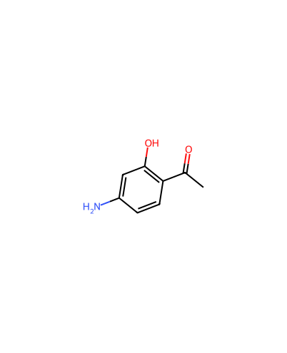 CC(=O)c1ccc(N)cc1O